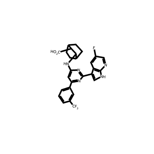 O=C(O)C1C2CCC(CC2)C1Nc1cc(-c2cccc(C(F)(F)F)c2)nc(-c2c[nH]c3ncc(F)cc23)n1